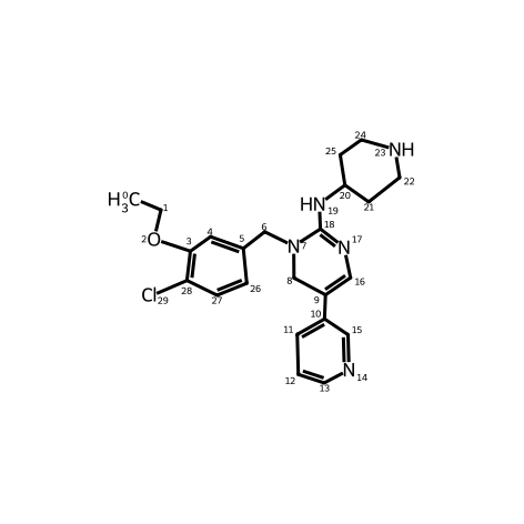 CCOc1cc(CN2CC(c3cccnc3)=CN=C2NC2CCNCC2)ccc1Cl